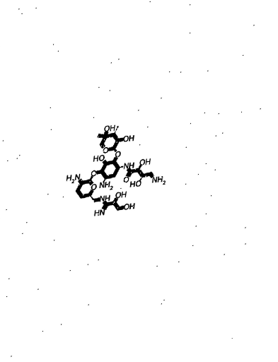 C[C@@H]1C(O)[C@@H](OC2C(O)C(O[C@H]3O[C@H](CNC(=N)C(O)CO)CCC3N)[C@@H](N)C[C@H]2NC(=O)[C@@H](O)[C@@H](O)CN)OCC1(C)O